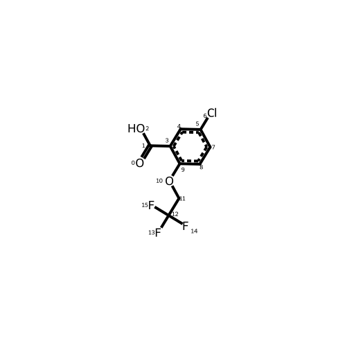 O=C(O)c1cc(Cl)ccc1OCC(F)(F)F